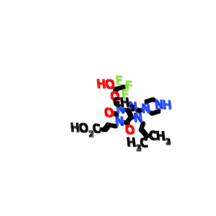 CC(C)=CCn1c(N2CCNCC2)nc2c1c(=O)n(C/C=C/C(=O)O)c(=O)n2C.O=C(O)C(F)(F)F